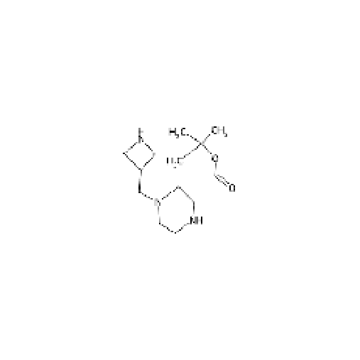 C1CN(CC2CNC2)CCN1.CC(C)(C)OC=O